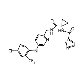 O=C(NC1(C(=O)NCc2ccc(Nc3ccc(Cl)cc3C(F)(F)F)cn2)CC1)c1ccns1